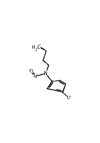 CCCCN(N=O)c1ccc(Cl)cc1